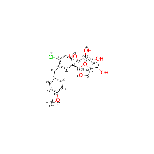 OC[C@@]12CO[C@@](c3ccc(Cl)c(Cc4ccc(OC(F)(F)F)cc4)c3)(O1)[C@H](O)[C@@H](O)[C@@H]2O